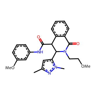 COCCN1C(=O)c2ccccc2C(C(=O)Nc2cccc(OC)c2)C1c1cc(C)nn1C